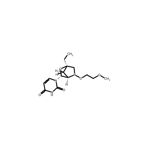 CC[C@@]12CN(OCCOC)[C@@H]([C@H](n3ccc(=O)[nH]c3=O)O1)[C@@H]2C